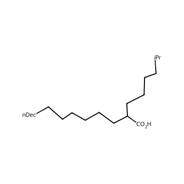 CCCCCCCCCCCCCCCCC(CCCCC(C)C)C(=O)O